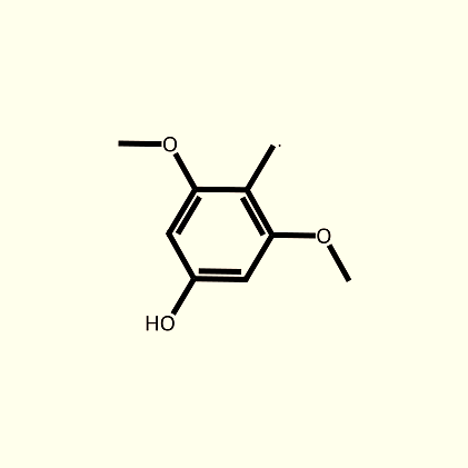 [CH2]c1c(OC)cc(O)cc1OC